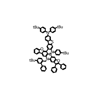 CC(C)(C)c1ccc(N2B3c4cc5oc(-c6ccccc6)c(-c6ccccc6)c5cc4N(Cc4ccc(C(C)(C)C)cc4-c4ccccc4)c4cc5c(oc6ccccc65)c(c43)-c3cc4c(cc32)sc2cc(N(c3ccc(C(C)(C)C)cc3)c3ccc(C(C)(C)C)cc3)ccc24)cc1